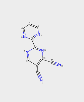 N#Cc1cnc(-c2ncccn2)nc1C#N